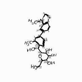 Cc1cc(-c2ccc3ncn(C)c3c2)ccc1[C@@H](O)[C@H]1OC(CO)[C@@H](O)C(O)C1O